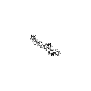 O=C(Cn1ccnc1)N1CCC(c2ccn3c(-c4ccnc(-c5ccccc5)c4)cnc3c2)CC1